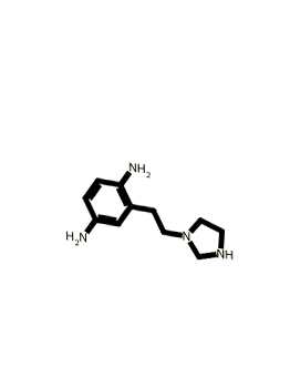 Nc1ccc(N)c(CCN2CCNC2)c1